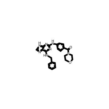 O=C(c1ccc(Nc2nc(NCc3ccccc3)c3nc[nH]c3n2)cc1)N1CCOCC1